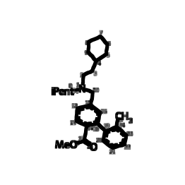 CCC[C@H](C)N(CCC1CCCCC1)Cc1ccc(C(=O)OC)c(-c2ccccc2C)c1